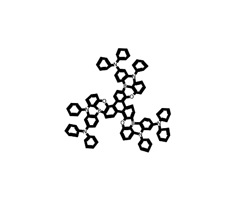 c1ccc(N(c2ccccc2)c2ccc3c(c2)N(c2ccccc2)c2cccc4c2B3c2ccc3c(c2O4)c2ccc4c(c2c2ccc5c(c32)Oc2cccc3c2B5c2ccc(N(c5ccccc5)c5ccccc5)cc2N3c2ccccc2)Oc2cccc3c2B4c2ccc(N(c4ccccc4)c4ccccc4)cc2N3c2ccccc2)cc1